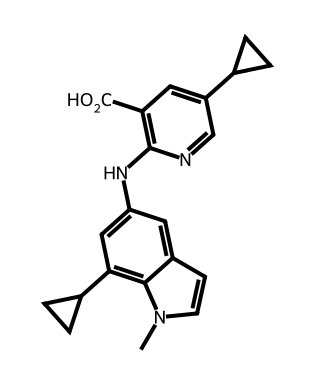 Cn1ccc2cc(Nc3ncc(C4CC4)cc3C(=O)O)cc(C3CC3)c21